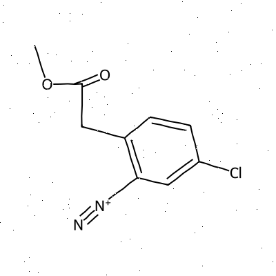 COC(=O)Cc1ccc(Cl)cc1[N+]#N